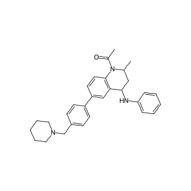 CC(=O)N1c2ccc(-c3ccc(CN4CCCCC4)cc3)cc2C(Nc2ccccc2)CC1C